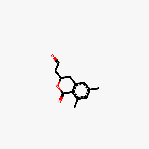 Cc1cc(C)c2c(c1)CC(CC=O)OC2=O